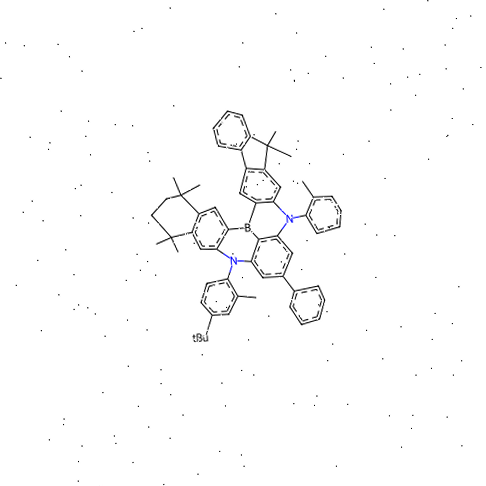 Cc1cc(C(C)(C)C)ccc1N1c2cc3c(cc2B2c4cc5c(cc4N(c4ccccc4C)c4cc(-c6ccccc6)cc1c42)C(C)(C)c1ccccc1-5)C(C)(C)CCC3(C)C